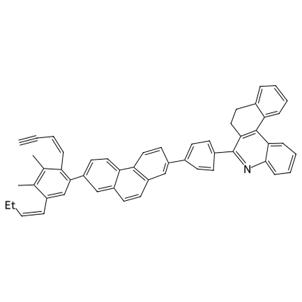 C#C/C=C\c1c(-c2ccc3c(ccc4cc(-c5ccc(-c6nc7ccccc7c7c6CCc6ccccc6-7)cc5)ccc43)c2)cc(/C=C\CC)c(C)c1C